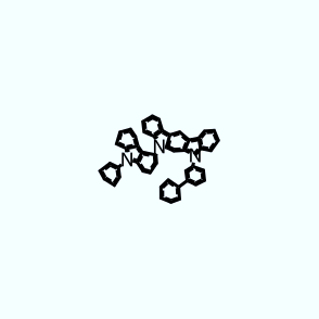 c1ccc(-c2cccc(-n3c4ccccc4c4cc5c6ccccc6n(-c6cccc7c6c6ccccc6n7-c6ccccc6)c5cc43)c2)cc1